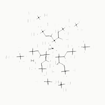 CC(CC(C)(C)OOC(C)(C)C)C(C)(OP(=O)(OC(C)(C(C)CC(C)(C)OOC(C)(C)C)C(C)CC(C)(C)OOC(C)(C)C)OC(C)(C(C)CC(C)(C)OOC(C)(C)C)C(C)CC(C)(C)OOC(C)(C)C)C(C)CC(C)(C)OOC(C)(C)C